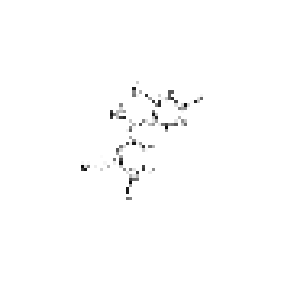 COc1cc(C(O)c2ccc(C)cc2Br)ccc1F